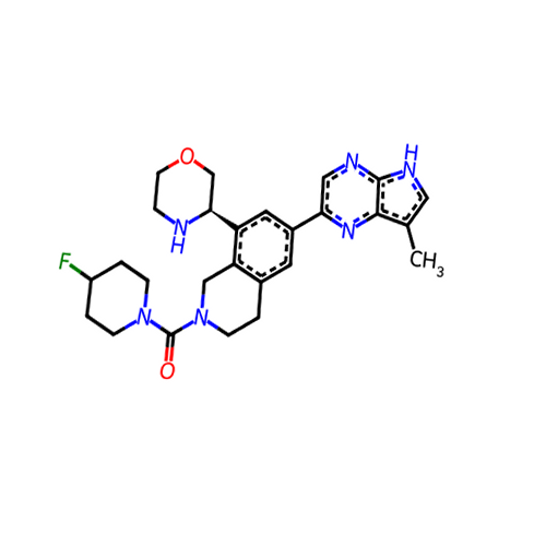 Cc1c[nH]c2ncc(-c3cc4c(c([C@@H]5COCCN5)c3)CN(C(=O)N3CCC(F)CC3)CC4)nc12